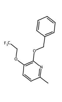 Cc1ccc(OCC(F)(F)F)c(OCc2ccccc2)n1